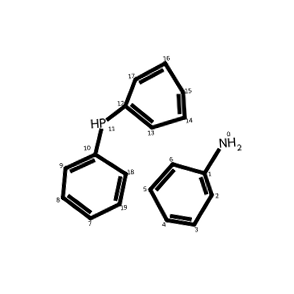 Nc1ccccc1.c1ccc(Pc2ccccc2)cc1